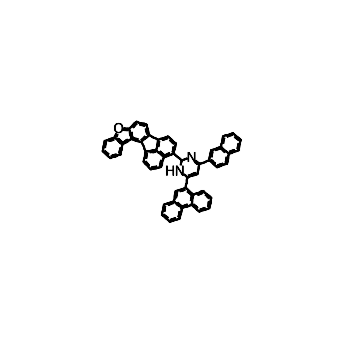 C1=C(c2cc3ccccc3c3ccccc23)NC(c2ccc3c4c(cccc24)-c2c-3ccc3oc4ccccc4c23)N=C1c1ccc2ccccc2c1